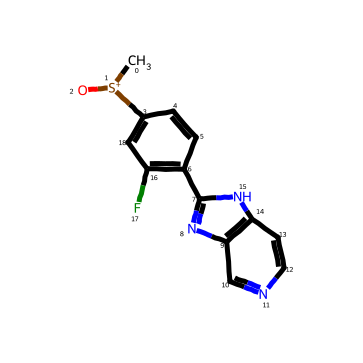 C[S+]([O-])c1ccc(-c2nc3cnccc3[nH]2)c(F)c1